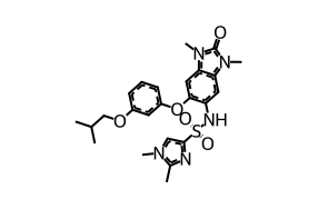 Cc1nc(S(=O)(=O)Nc2cc3c(cc2Oc2cccc(OCC(C)C)c2)n(C)c(=O)n3C)cn1C